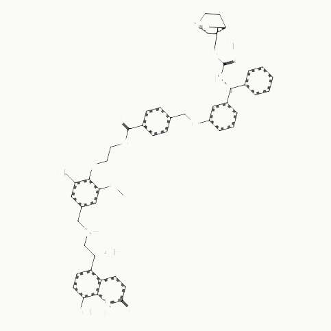 COc1cc(CNC[C@H](O)c2ccc(O)c3[nH]c(=O)ccc23)cc(Cl)c1OCCOC(=O)c1ccc(COc2cccc([C@@H](NC(=O)O[C@H]3CN4CCC3CC4)c3ccccc3)c2)cc1